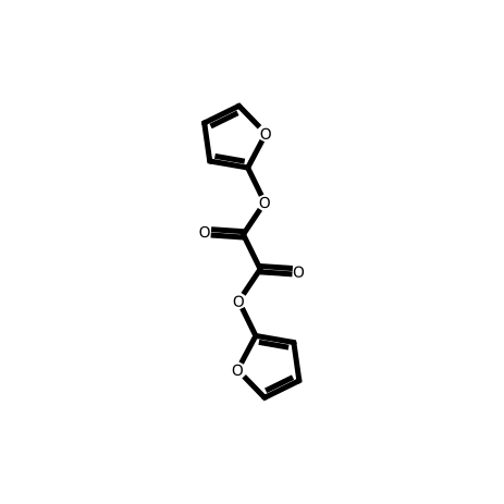 O=C(Oc1ccco1)C(=O)Oc1ccco1